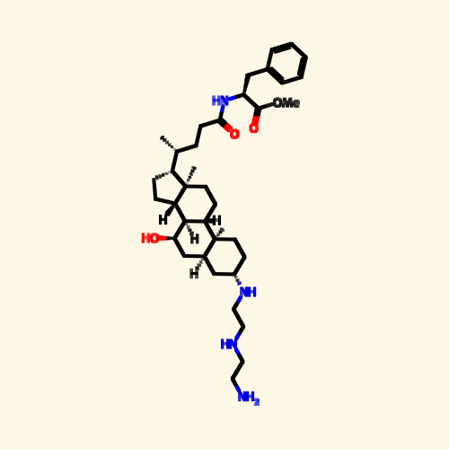 COC(=O)[C@H](Cc1ccccc1)NC(=O)CC[C@@H](C)[C@H]1CC[C@H]2[C@@H]3[C@H](O)C[C@@H]4C[C@@H](NCCNCCN)CC[C@]4(C)[C@H]3CC[C@]12C